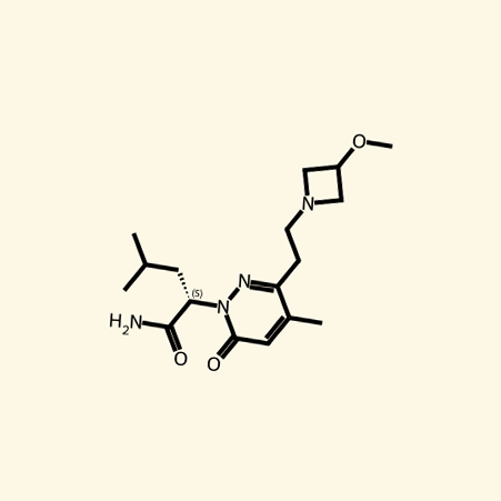 COC1CN(CCc2nn([C@@H](CC(C)C)C(N)=O)c(=O)cc2C)C1